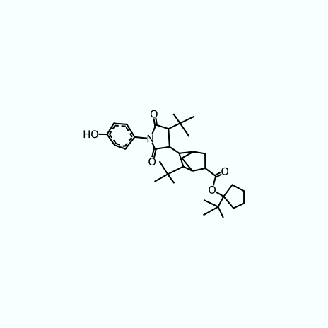 CC(C)(C)C1C(=O)N(c2ccc(O)cc2)C(=O)C1C1C2CC(C(=O)OC3(C(C)(C)C)CCCC3)C(C2)C1C(C)(C)C